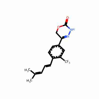 CC(C)=C/C=C/c1ccc(C2=NNC(=O)OC2)cc1C(F)(F)F